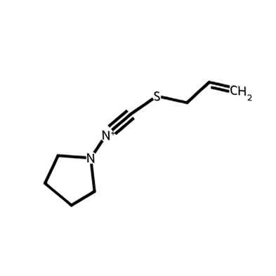 C=CCSC#[N+]N1CCCC1